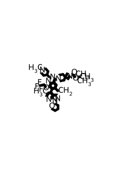 C=Cc1cc2c(N3CCC4(CC3)CN(C(=O)OC(C)(C)C)C4)nc(C3CCN(C)CC3)nc2c(OCC(F)(F)F)c1-c1c(C)cnc2c1cnn2C1CCCCO1